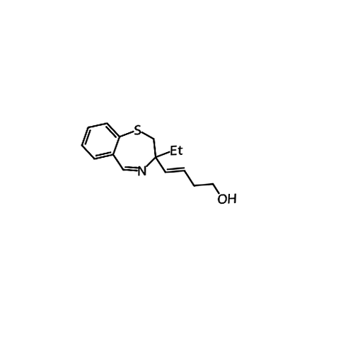 CCC1(/C=C/CCO)CSc2ccccc2C=N1